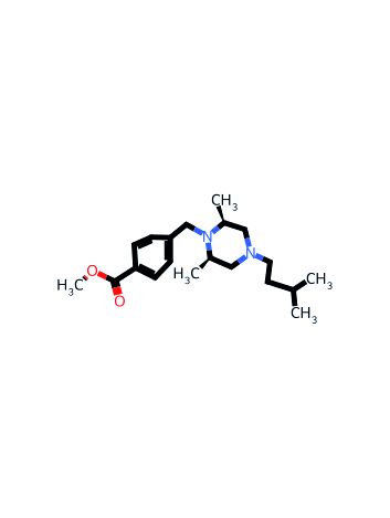 COC(=O)c1ccc(CN2[C@H](C)CN(CCC(C)C)C[C@@H]2C)cc1